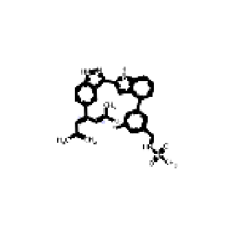 C=C(C)/C=C(\C=C(/C)N)c1ccc2[nH]nc(-c3cc4c(-c5cc(F)cc(CNS(C)(=O)=O)c5)cccc4[nH]3)c2c1